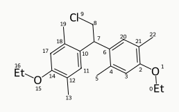 CCOc1cc(C)c(C(CCl)c2cc(C)c(OCC)cc2C)cc1C